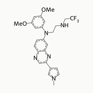 COc1cc(OC)cc(N(CCNCC(F)(F)F)c2ccc3ncc(-c4ccn(C)c4)nc3c2)c1